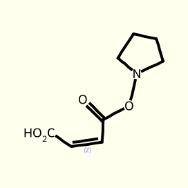 O=C(O)/C=C\C(=O)ON1CCCC1